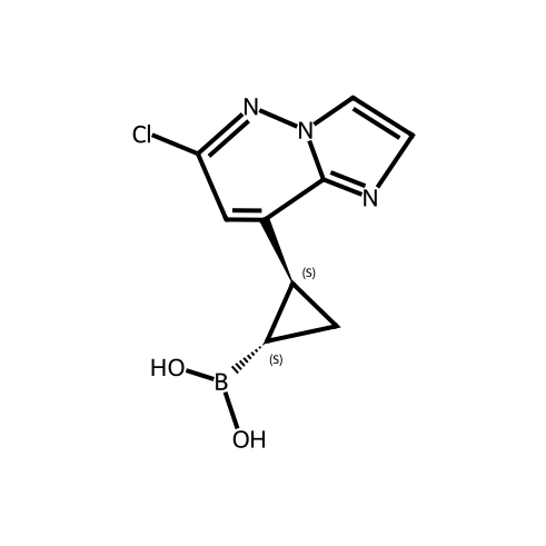 OB(O)[C@H]1C[C@@H]1c1cc(Cl)nn2ccnc12